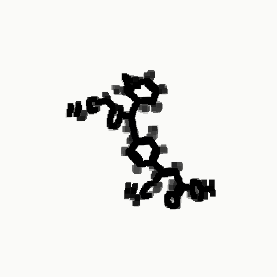 CCOC(c1ccc(C(C)=CC(=O)O)cc1)c1cccnc1